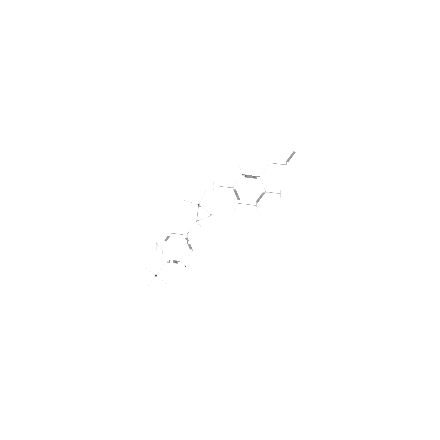 C=CCc1c(F)c(F)c(C[C@@H]2[C@@H](c3cnc(C(C)(C)C)nc3)C2(C)C)c(F)c1F